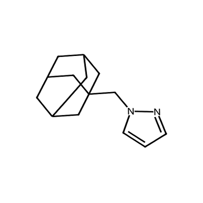 c1cnn(CC23CC4CC(CC(C4)C2)C3)c1